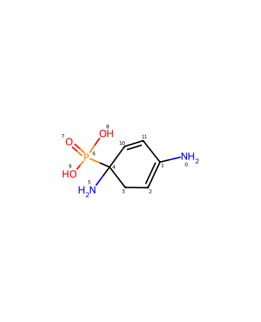 NC1=CCC(N)(P(=O)(O)O)C=C1